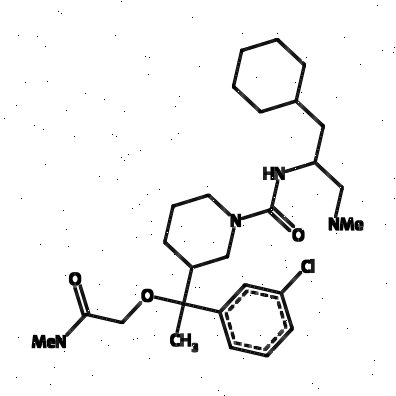 CNCC(CC1CCCCC1)NC(=O)N1CCCC(C(C)(OCC(=O)NC)c2cccc(Cl)c2)C1